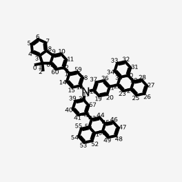 CC1(C)c2ccccc2-c2ccc(-c3ccc(N(c4ccc(-c5cc6ccccc6c6ccccc56)cc4)c4cccc(-c5cc6ccccc6c6ccccc56)c4)cc3)cc21